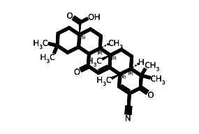 CC1(C)CC[C@]2(C(=O)O)CC[C@]3(C)C(C(=O)C=C4[C@@]5(C)C=C(C#N)C(=O)C(C)(C)[C@@H]5CC[C@]43C)C2C1